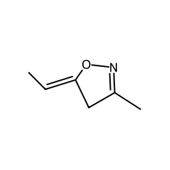 C/C=C1/CC(C)=NO1